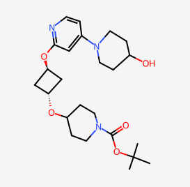 CC(C)(C)OC(=O)N1CCC(O[C@H]2C[C@H](Oc3cc(N4CCC(O)CC4)ccn3)C2)CC1